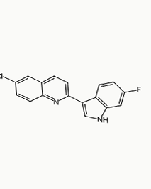 Fc1ccc2c(-c3ccc4cc(Cl)ccc4n3)c[nH]c2c1